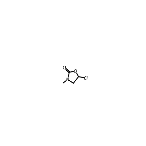 CN1CC(Cl)OC1=O